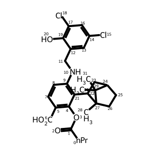 CCCC(=O)Oc1c(C(=O)O)ccc(NCc2cc(Cl)cc(Cl)c2O)c1C1CC2CCC1(C)C2(C)C